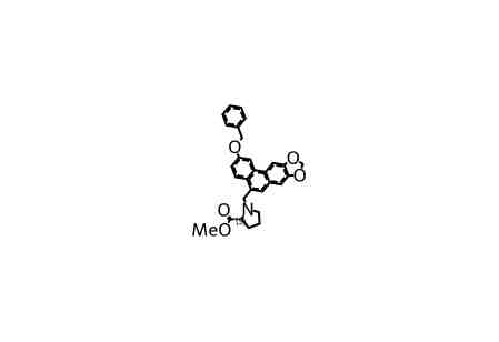 COC(=O)[C@@H]1CCCN1Cc1cc2cc3c(cc2c2cc(OCc4ccccc4)ccc12)OCO3